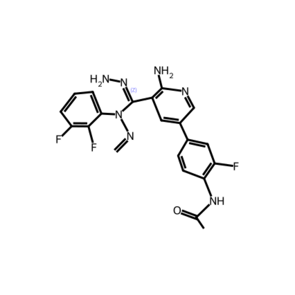 C=NN(/C(=N\N)c1cc(-c2ccc(NC(C)=O)c(F)c2)cnc1N)c1cccc(F)c1F